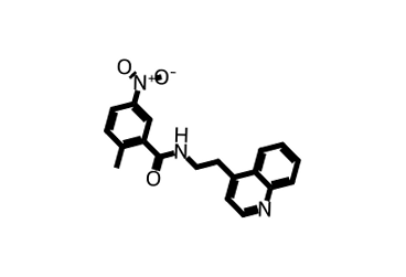 Cc1ccc([N+](=O)[O-])cc1C(=O)NCCc1ccnc2ccccc12